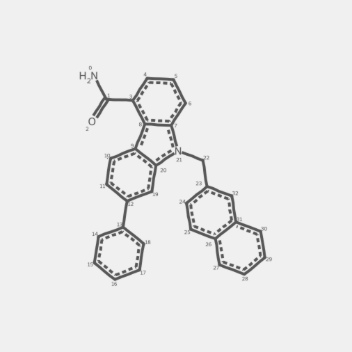 NC(=O)c1cccc2c1c1[c]cc(-c3ccccc3)cc1n2Cc1ccc2ccccc2c1